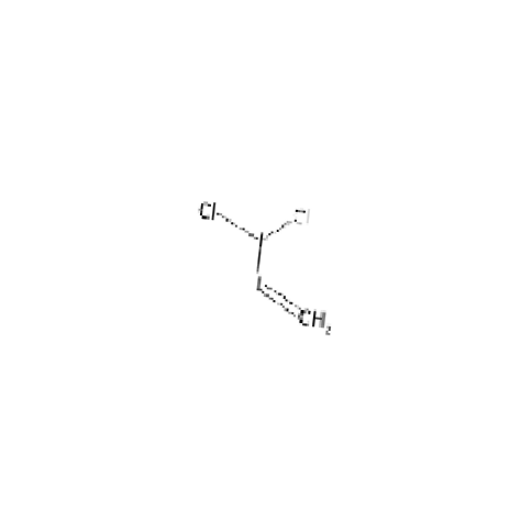 C=CI(Cl)Cl